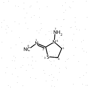 N#C/N=C1\SCCN1N